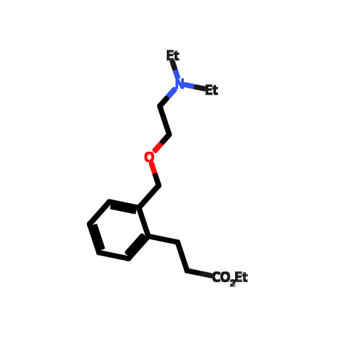 CCOC(=O)CCc1ccccc1COCCN(CC)CC